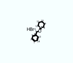 Br.c1ccc(CON2CCCCC2)cc1